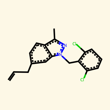 C=CCc1ccc2c(C)nn(Cc3c(Cl)cccc3Cl)c2c1